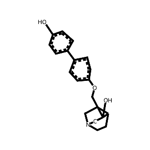 Oc1ccc(-c2ccc(OCC3(O)CN4CCC3CC4)cc2)cc1